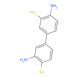 Nc1cc(-c2ccc(N)c(S)c2)ccc1S